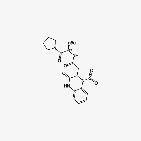 CCCC[C@@H](NC(=O)CC1C(=O)Nc2ccccc2N1[SH](=O)=O)C(=O)N1CCCC1